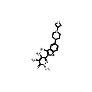 Cc1c(-c2[nH]c3ccc(C4CCN(C5COC5)CC4)cc3c2C(C)C)nn(C)c(=O)c1C